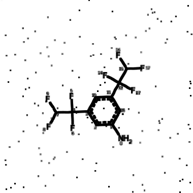 Nc1cc(C(F)(F)C(F)F)cc(C(F)(F)C(F)F)c1